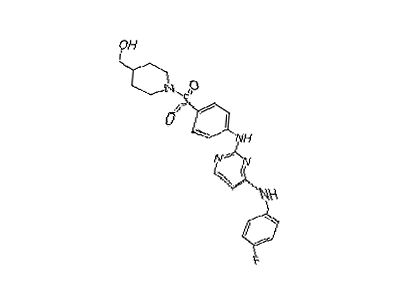 O=S(=O)(c1ccc(Nc2nccc(Nc3ccc(F)cc3)n2)cc1)N1CCC(CO)CC1